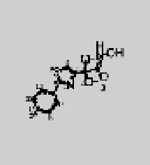 CC(C)(C(=O)NO)c1csc(-c2ccc(F)cc2)n1